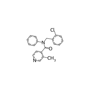 Cc1cnccc1C(=O)N(Cc1ccccc1Cl)c1ccccc1